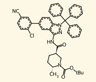 C[C@@H]1CC[C@@H](C(=O)Nc2nn(C(c3ccccc3)(c3ccccc3)c3ccccc3)c3ccc(-c4cc(C#N)ccc4Cl)cc23)CN1C(=O)OC(C)(C)C